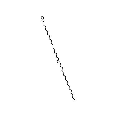 CCCCCCCCCCCCCCCCCOCCCCCCCCCCCCCCCCCC[O]